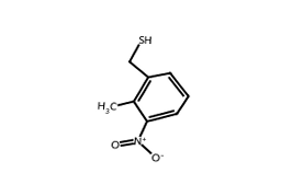 Cc1c(CS)cccc1[N+](=O)[O-]